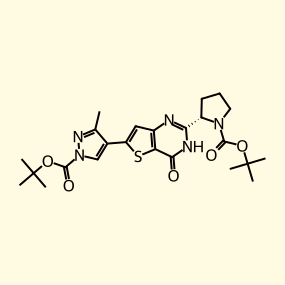 Cc1nn(C(=O)OC(C)(C)C)cc1-c1cc2nc([C@@H]3CCCN3C(=O)OC(C)(C)C)[nH]c(=O)c2s1